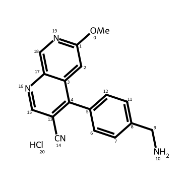 COc1cc2c(-c3ccc(CN)cc3)c(C#N)cnc2cn1.Cl